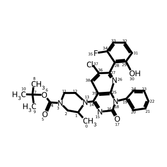 CC1CN(C(=O)OC(C)(C)C)CCN1c1nc(=O)n(-c2ccccc2)c2nc(-c3c(O)cccc3F)c(Cl)cc12